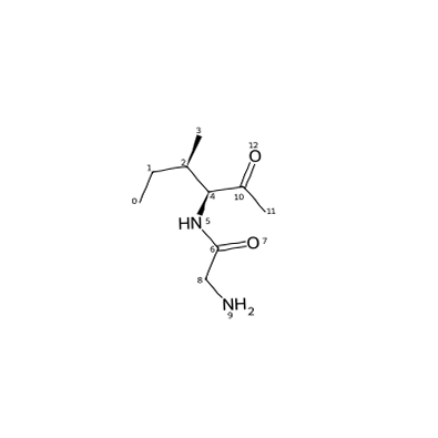 CC[C@@H](C)[C@H](NC(=O)CN)C(C)=O